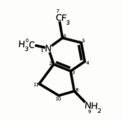 CN1C2=C(C=CC1C(F)(F)F)C(N)CC2